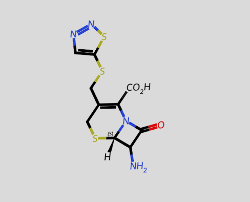 NC1C(=O)N2C(C(=O)O)=C(CSc3cnns3)CS[C@@H]12